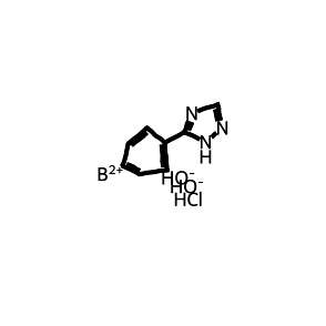 Cl.[B+2]c1ccc(-c2ncn[nH]2)cc1.[OH-].[OH-]